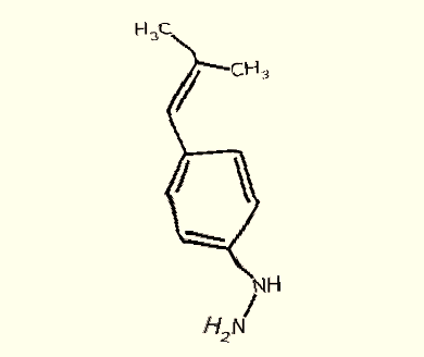 CC(C)=Cc1ccc(NN)cc1